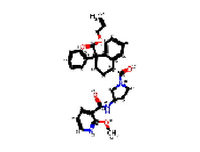 C=CCOC(=O)C1(c2ccccc2)CC[C@@H](C(=O)N2CCC(NC(=O)c3cccnc3OC)C2)c2ccccc21